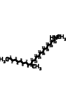 CCCCCCCCCC(C)CCCCCCCCCCCCNC